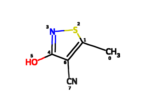 Cc1snc(O)c1C#N